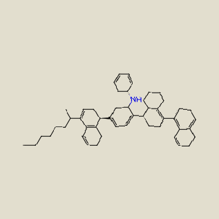 CCCCCCC(C)C1=CC[C@@H](C2=CC=C(C3CCC(C4=C5C=CCCC5=CCC4)=C4CCCCC43)C(N[C@H]3C=CC=CC3)C2)C2=C1C=CCC2